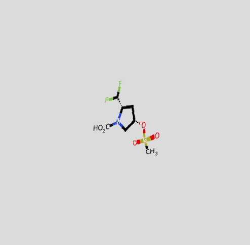 CS(=O)(=O)O[C@H]1C[C@@H](C(F)F)N(C(=O)O)C1